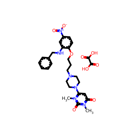 Cn1c(N2CCN(CCCOc3ccc([N+](=O)[O-])cc3NCc3ccccc3)CC2)cc(=O)n(C)c1=O.O=C(O)C(=O)O